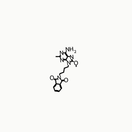 COc1nc2c(N)nc(C)nc2n1CCCCN1C(=O)c2ccccc2C1=O